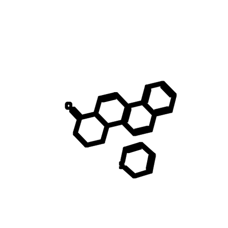 C1=CCSC=C1.O=C1CCCC2c3ccc4ccccc4c3C=CC12